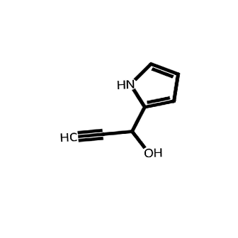 C#CC(O)c1ccc[nH]1